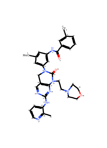 COc1cc(NC(=O)c2cccc(C(F)(F)F)c2)cc(N2Cc3cnc(Nc4cccnc4C)nc3N(CCN3CCOCC3)C2=O)c1